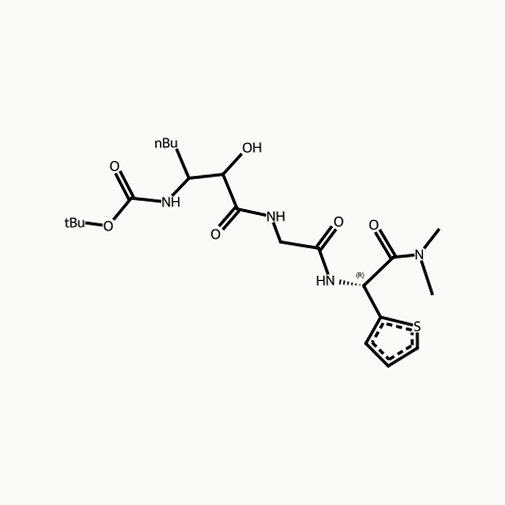 CCCCC(NC(=O)OC(C)(C)C)C(O)C(=O)NCC(=O)N[C@H](C(=O)N(C)C)c1cccs1